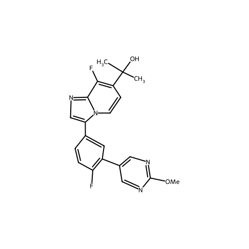 COc1ncc(-c2cc(-c3cnc4c(F)c(C(C)(C)O)ccn34)ccc2F)cn1